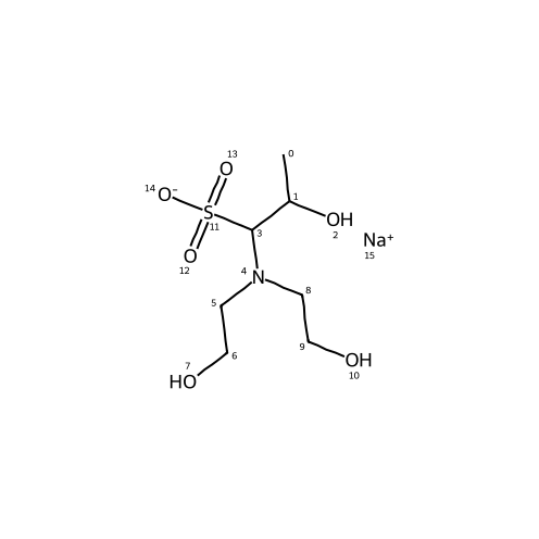 CC(O)C(N(CCO)CCO)S(=O)(=O)[O-].[Na+]